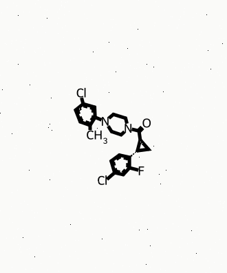 Cc1ccc(Cl)cc1N1CCN(C(=O)C2C[C@@H]2c2ccc(Cl)cc2F)CC1